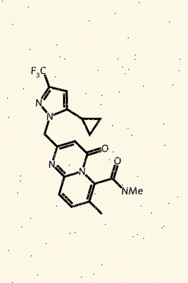 CNC(=O)c1c(C)ccc2nc(Cn3nc(C(F)(F)F)cc3C3CC3)cc(=O)n12